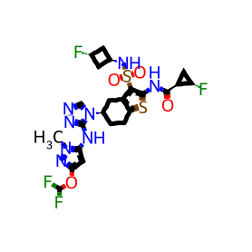 Cn1nc(OC(F)F)cc1Nc1nncn1[C@H]1CCc2sc(NC(=O)[C@H]3C[C@@H]3F)c(S(=O)(=O)N[C@H]3C[C@@H](F)C3)c2C1